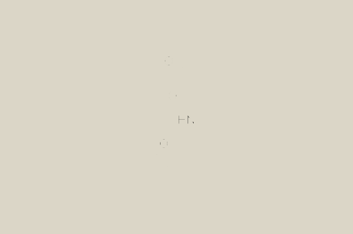 COc1cccc(CNc2cccc3c2oc2ccccc23)c1OC